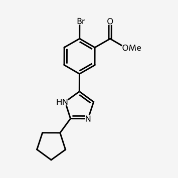 COC(=O)c1cc(-c2cnc(C3CCCC3)[nH]2)ccc1Br